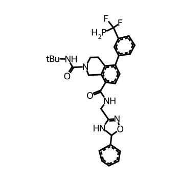 CC(C)(C)NC(=O)N1CCc2c(-c3cccc(C(F)(F)P)c3)ccc(C(=O)NCC3=NOC(c4ccccc4)N3)c2C1